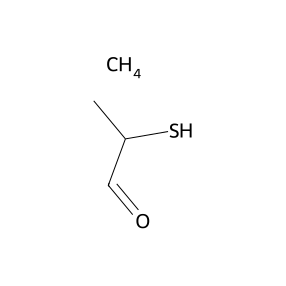 C.CC(S)C=O